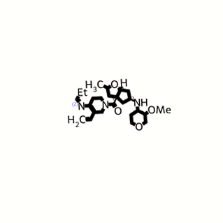 C=CC1=C(/N=C\CC)CCN(C(=O)[C@@]23CC(C)O[C@@H]2C[C@@H](NC2CCOCC2OC)C3)C1